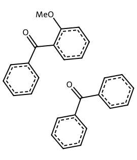 COc1ccccc1C(=O)c1ccccc1.O=C(c1ccccc1)c1ccccc1